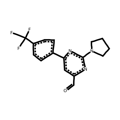 O=Cc1cc(-c2ccc(C(F)(F)F)cc2)nc(N2CCCC2)n1